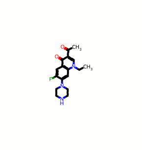 CCn1cc(C(C)=O)c(=O)c2cc(F)c(N3CCNCC3)cc21